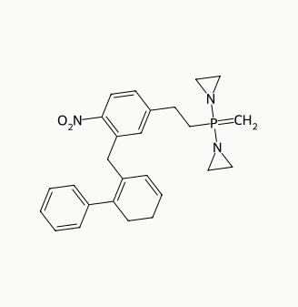 C=P(CCc1ccc([N+](=O)[O-])c(CC2=C(c3ccccc3)CCC=C2)c1)(N1CC1)N1CC1